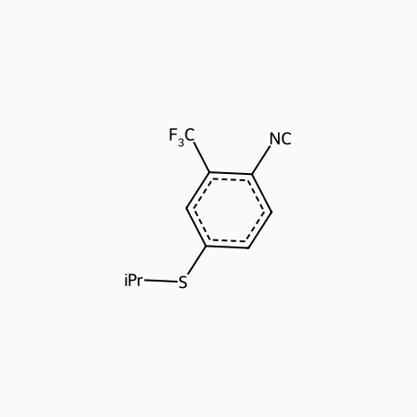 [C-]#[N+]c1ccc(SC(C)C)cc1C(F)(F)F